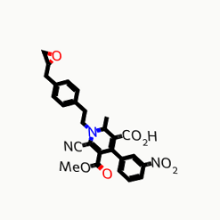 COC(=O)C1=C(C#N)N(CCc2ccc(CC3CO3)cc2)C(C)C(C(=O)O)=C1c1cccc([N+](=O)[O-])c1